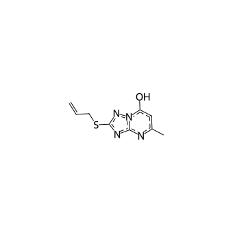 C=CCSc1nc2nc(C)cc(O)n2n1